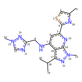 Cc1csc(-c2cc(NCc3ncn(C)n3)c3c(C(C)C)nn(C)c3n2)n1